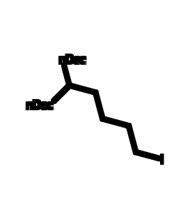 CCCCCCCCCCC(CCCCI)CCCCCCCCCC